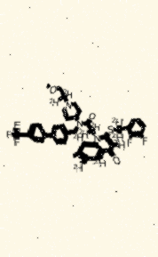 [2H]c1c(C)c([2H])c2c(c1[2H])c(=O)c([2H])c(SC([2H])([2H])c1cccc(F)c1F)n2C([2H])([2H])C(=O)N(Cc1ccc(-c2ccc(C(F)(F)F)cc2)cc1)C1CCN(C([2H])([2H])COC)CC1